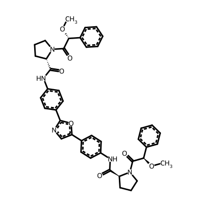 CO[C@@H](C(=O)N1CCC[C@H]1C(=O)Nc1ccc(-c2cnc(-c3ccc(NC(=O)[C@@H]4CCCN4C(=O)[C@H](OC)c4ccccc4)cc3)o2)cc1)c1ccccc1